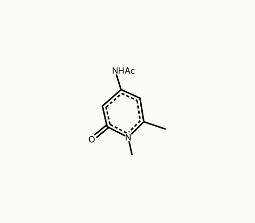 CC(=O)Nc1cc(C)n(C)c(=O)c1